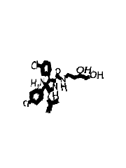 CC(C)C[C@H]1N[C@@H](C(=O)NCC[C@H](O)CO)[C@H](c2cccc(Cl)c2)[C@@]1(N)c1ccc(Cl)cc1